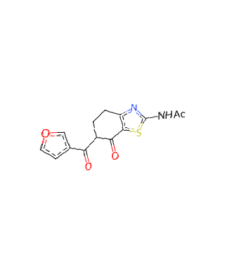 CC(=O)Nc1nc2c(s1)C(=O)C(C(=O)c1ccoc1)CC2